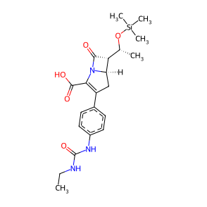 CCNC(=O)Nc1ccc(C2=C(C(=O)O)N3C(=O)[C@H]([C@@H](C)O[Si](C)(C)C)[C@H]3C2)cc1